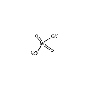 [O]=[Mn](=[O])([OH])[OH]